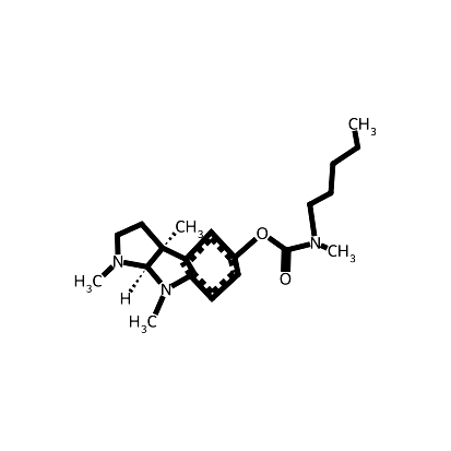 CCCCCN(C)C(=O)Oc1ccc2c(c1)[C@]1(C)CCN(C)[C@@H]1N2C